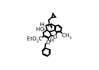 CCOC(=O)C1=C(OCc2ccccc2)[C@@H]2Oc3c(C)ccc4c3[C@@]23CCN(CC2CC2)[C@H](C4)[C@]3(O)C1